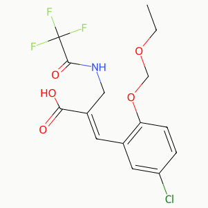 CCOCOc1ccc(Cl)cc1/C=C(\CNC(=O)C(F)(F)F)C(=O)O